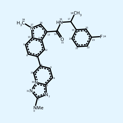 CNc1nc2ccc(-c3ccc4c(c3)c(C(=O)NC(C)c3cccc(F)c3)cn4C)cn2n1